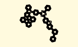 c1ccc(-c2cccc(-c3ccc4c(c3)oc3cc(-c5nc(-c6ccccc6)nc(-c6ccc(-n7c8ccccc8c8ccc9c(c87)-c7ccccc7C97c8ccccc8-c8ccccc87)cc6)n5)ccc34)c2)cc1